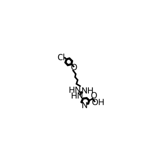 N=C(NCCCCCCOc1ccc(Cl)cc1)Nc1cncc(C(=O)O)c1